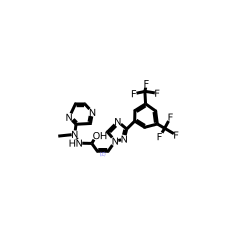 CN(NC(O)/C=C\n1cnc(-c2cc(C(F)(F)F)cc(C(F)(F)F)c2)n1)c1cnccn1